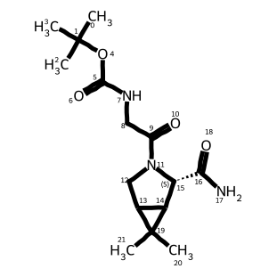 CC(C)(C)OC(=O)NCC(=O)N1CC2C([C@H]1C(N)=O)C2(C)C